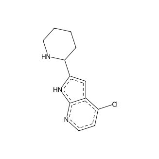 Clc1ccnc2[nH]c(C3CCCCN3)cc12